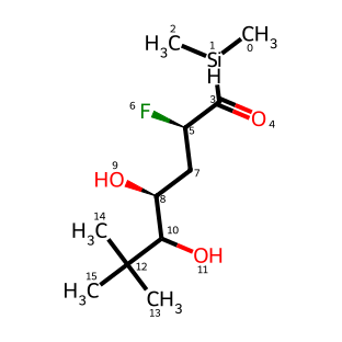 C[SiH](C)C(=O)[C@H](F)C[C@H](O)C(O)C(C)(C)C